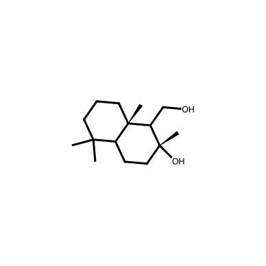 CC1(C)CCC[C@@]2(C)C1CC[C@@](C)(O)C2CO